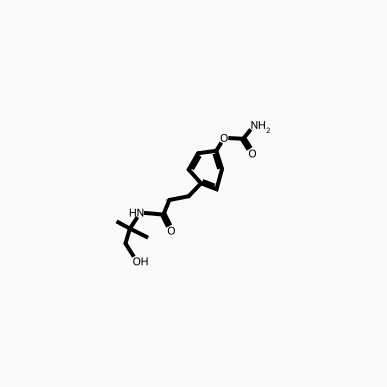 CC(C)(CO)NC(=O)[CH]Cc1ccc(OC(N)=O)cc1